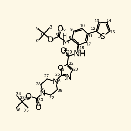 CC(C)(C)OC(=O)Nc1ccc(-c2cccs2)cc1NC(=O)c1cnc(N2CCN(C(=O)OC(C)(C)C)CC2)o1